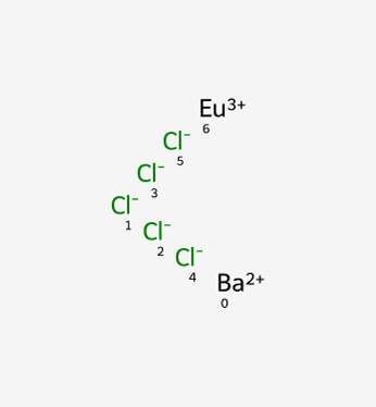 [Ba+2].[Cl-].[Cl-].[Cl-].[Cl-].[Cl-].[Eu+3]